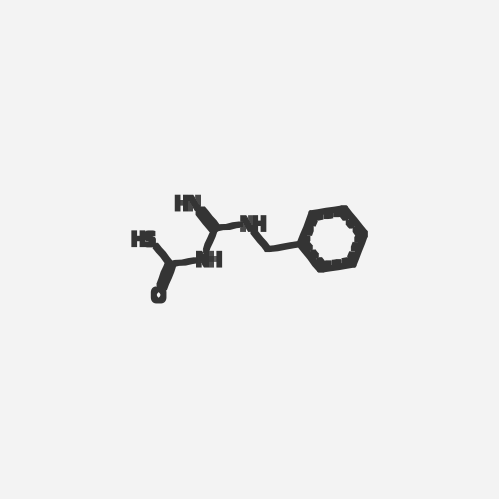 N=C(NCc1ccccc1)NC(=O)S